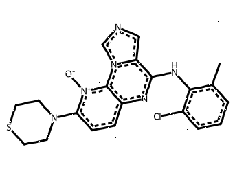 Cc1cccc(Cl)c1Nc1nc2ccc(N3CCSCC3)[n+]([O-])c2n2cncc12